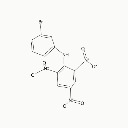 O=[N+]([O-])c1cc([N+](=O)[O-])c(Nc2cccc(Br)c2)c([N+](=O)[O-])c1